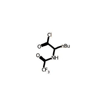 CCCCC(NC(=O)C(F)(F)F)C(=O)Cl